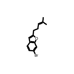 CC(C)=CCCc1cc2ccc(Br)cc2o1